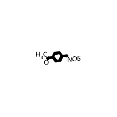 CC(=O)c1ccc(CN=C=S)cc1